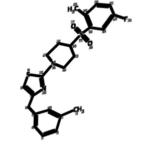 Cc1cccc(Cc2csc(N3CCC(S(=O)(=O)c4cc(F)ccc4C)CC3)n2)c1